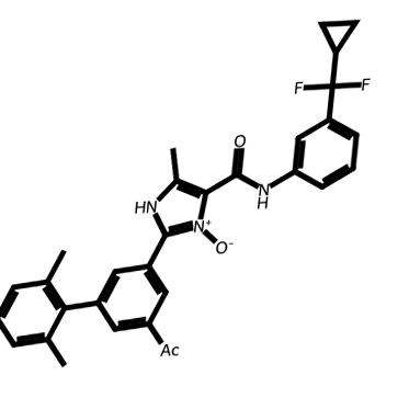 CC(=O)c1cc(-c2c(C)cccc2C)cc(-c2[nH]c(C)c(C(=O)Nc3cccc(C(F)(F)C4CC4)c3)[n+]2[O-])c1